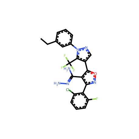 CCc1cccc(-n2ncc(-c3onc(-c4c(F)cccc4Cl)c3/C(N)=N/N)c2C(F)(F)F)c1